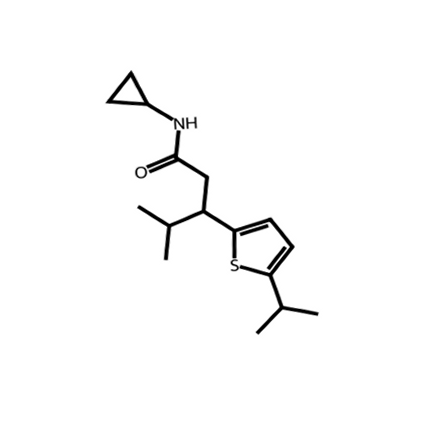 CC(C)c1ccc(C(CC(=O)NC2CC2)C(C)C)s1